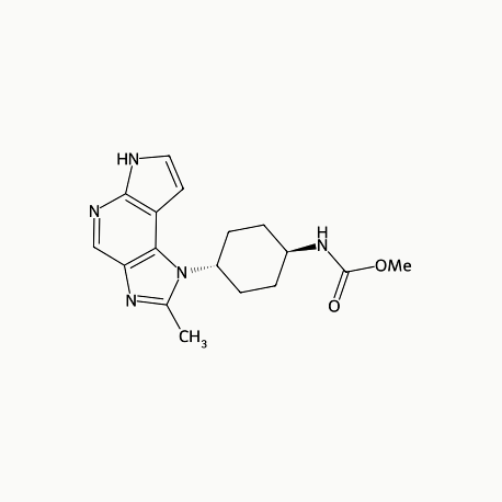 COC(=O)N[C@H]1CC[C@H](n2c(C)nc3cnc4[nH]ccc4c32)CC1